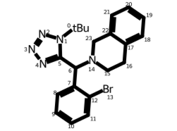 CC(C)(C)n1nnnc1C(c1ccccc1Br)N1CCc2ccccc2C1